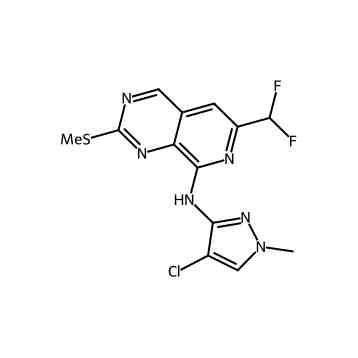 CSc1ncc2cc(C(F)F)nc(Nc3nn(C)cc3Cl)c2n1